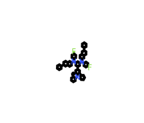 CC1(C)c2ccccc2-n2c3ccccc3c3cc(-c4cc(N(c5ccc(F)cc5)c5ccc6cc(-c7ccccc7)ccc6c5)cc(N(c5ccc(F)cc5)c5ccc6cc(-c7ccccc7)ccc6c5)c4)cc1c32